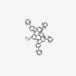 Fc1cc(F)cc(-c2c(-n3c4ccc(-c5ncccn5)cc4c4cc(-c5ncccn5)ccc43)cc(C(F)(F)F)cc2-n2c3ccc(-c4ncccn4)cc3c3cc(-c4ncccn4)ccc32)c1